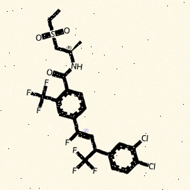 CCS(=O)(=O)C[C@@H](C)NC(=O)c1ccc(/C(F)=C/C(c2ccc(Cl)c(Cl)c2)C(F)(F)F)cc1C(F)(F)F